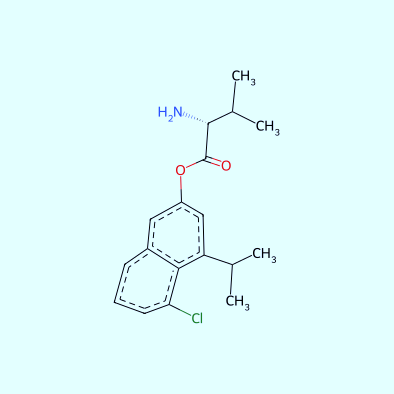 CC(C)c1cc(OC(=O)[C@H](N)C(C)C)cc2cccc(Cl)c12